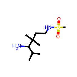 CC(C)C(N)C(C)(C)CCNS(C)(=O)=O